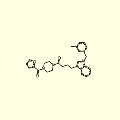 Cc1cccc(Cn2cc(CCCC(=O)N3CCN(C(=O)c4ccco4)CC3)c3ccccc32)c1